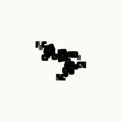 N#CCOP(=O)(COc1cc(Oc2ccc(C(F)(F)F)cc2Cl)ccc1[N+](=O)[O-])OCC#N